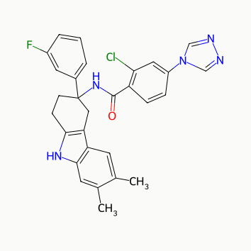 Cc1cc2[nH]c3c(c2cc1C)CC(NC(=O)c1ccc(-n2cnnc2)cc1Cl)(c1cccc(F)c1)CC3